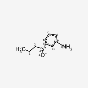 CCC[S+]([O-])c1cccc(N)c1